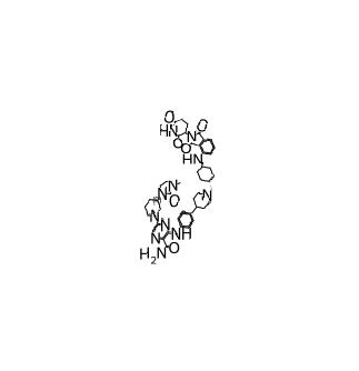 CN1CCN([C@@H]2CCCN(c3cnc(C(N)=O)c(Nc4ccc(C5CCN(C[C@H]6CC[C@H](Nc7cccc8c7C(=O)N(C7CCC(=O)NC7=O)C8=O)CC6)CC5)cc4)n3)C2)C1=O